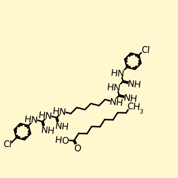 CCCCCCCCCC(=O)O.N=C(NCCCCCCNC(=N)NC(=N)Nc1ccc(Cl)cc1)NC(=N)Nc1ccc(Cl)cc1